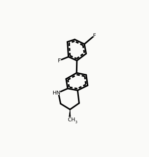 C[C@H]1CNc2cc(-c3cc(F)ccc3F)ccc2C1